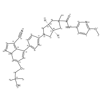 COc1ccc(NC(=O)C2(C)C[C@H]3CN(c4ccc(-c5cc(OCC(C)(C)O)cn6ncc(C#N)c56)cn4)C[C@H]3C2)cn1